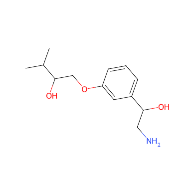 CC(C)C(O)COc1cccc(C(O)CN)c1